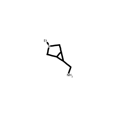 CCN1CC2C(CN)C2C1